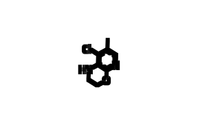 Cc1cnc2c(c1Cl)NCCO2